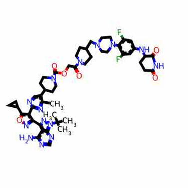 Cc1nc(-c2c(-c3nn(C(C)(C)C)c4ncnc(N)c34)noc2C2CC2)ncc1C1CCN(C(=O)OCC(=O)N2CCC(CN3CCN(c4c(F)cc(NC5CCC(=O)NC5=O)cc4F)CC3)CC2)CC1